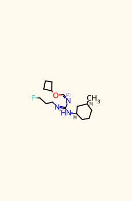 C[C@H]1CCC[C@@H](NC(/N=C\OC2CCC2)=N/CCCF)C1